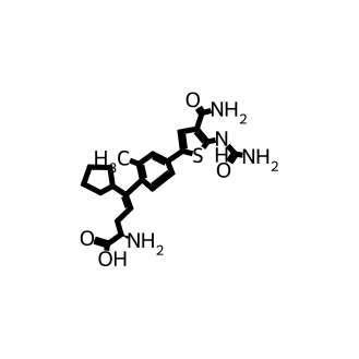 Cc1cc(-c2cc(C(N)=O)c(NC(N)=O)s2)ccc1/C(=C/C[C@H](N)C(=O)O)C1CCCC1